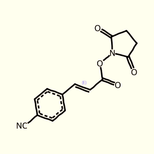 N#Cc1ccc(/C=C/C(=O)ON2C(=O)CCC2=O)cc1